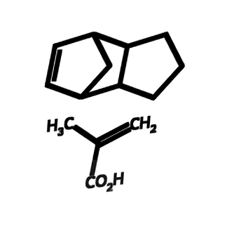 C1=CC2CC1C1CCCC21.C=C(C)C(=O)O